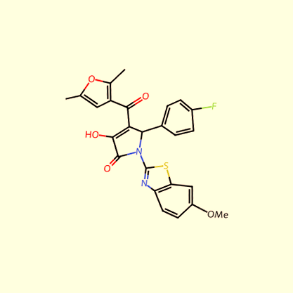 COc1ccc2nc(N3C(=O)C(O)=C(C(=O)c4cc(C)oc4C)C3c3ccc(F)cc3)sc2c1